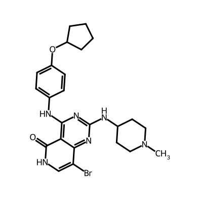 CN1CCC(Nc2nc(Nc3ccc(OC4CCCC4)cc3)c3c(=O)[nH]cc(Br)c3n2)CC1